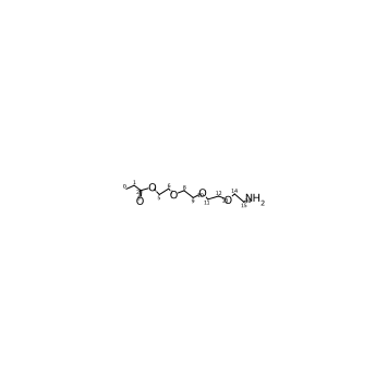 CCC(=O)OCCOCCOCCOCCN